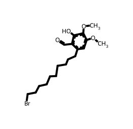 COc1cc(CCCCCCCCCCBr)c(C=O)c(O)c1OC